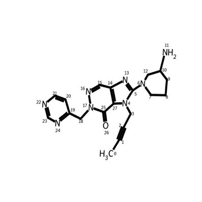 CC#CCn1c(N2CCCC(N)C2)nc2cnn(Cc3ccncn3)c(=O)c21